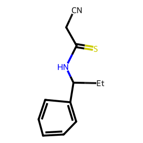 CCC(NC(=S)CC#N)c1ccccc1